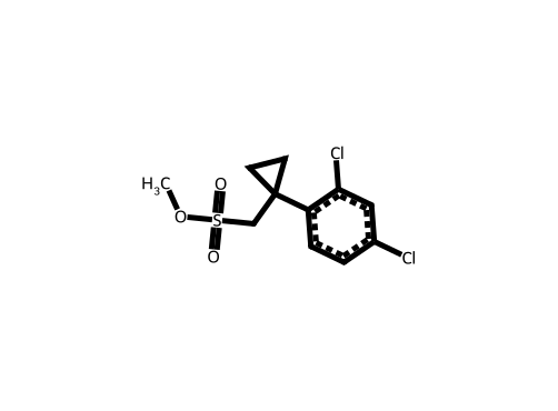 COS(=O)(=O)CC1(c2ccc(Cl)cc2Cl)CC1